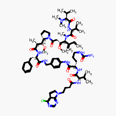 C=C(CC)[C@@H]([C@@H](CC(=O)N1CCC[C@H]1[C@H](OC)[C@@H](C)C(=O)N[C@@H](Cc1ccccc1)C(=O)NCc1ccc(NC(=O)[C@H](CCCNC(N)=O)NC(=O)[C@@H](NC(=O)CCCn2ccc3c(Cl)ncnc32)C(C)C)cc1)OC)N(C)C(=O)[C@@H](NC(=O)[C@H](C(C)C)N(C)C)C(C)C